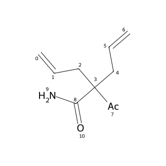 C=CCC(CC=C)(C(C)=O)C(N)=O